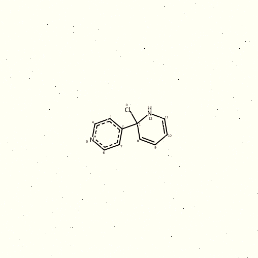 ClC1(c2ccncc2)C=[C]C=CN1